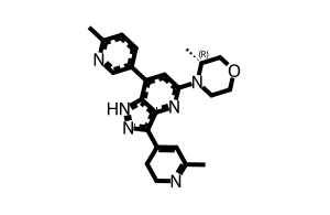 CC1=NCCC(c2n[nH]c3c(-c4ccc(C)nc4)cc(N4CCOC[C@H]4C)nc23)=C1